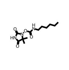 CCCCCCNC(=O)ON1C(=O)NC(=O)C1(C)C